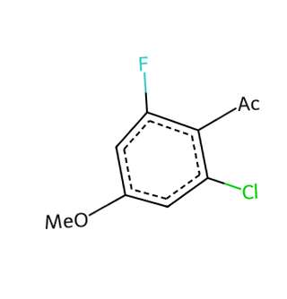 COc1cc(F)c(C(C)=O)c(Cl)c1